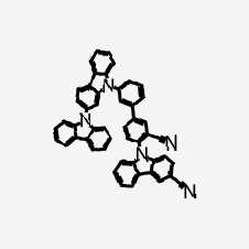 N#Cc1ccc2c(c1)c1ccccc1n2-c1ccc(-c2cccc(-n3c4ccccc4c4ccc(-n5c6ccccc6c6ccccc65)cc43)c2)cc1C#N